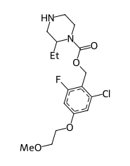 CCC1CNCCN1C(=O)OCc1c(F)cc(OCCOC)cc1Cl